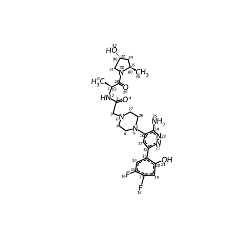 C[C@H](NC(=O)CN1CCN(c2cc(-c3cc(F)c(F)cc3O)nnc2N)CC1)C(=O)N1C[C@H](O)C[C@H]1C